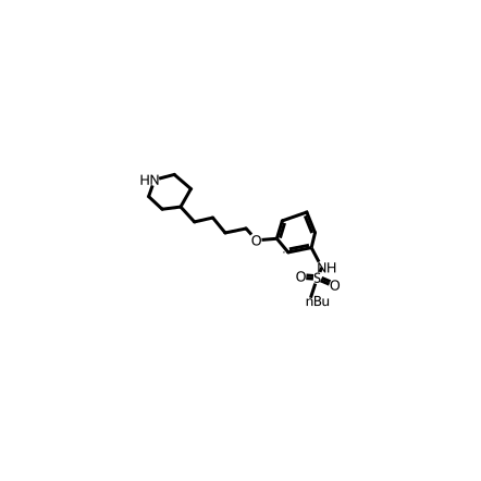 CCCCS(=O)(=O)Nc1[c]c(OCCCCC2CCNCC2)ccc1